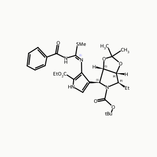 CCOC(=O)c1[nH]cc([C@H]2[C@@H]3OC(C)(C)O[C@@H]3[C@@H](CC)N2C(=O)OC(C)(C)C)c1/N=C(\NC(=O)c1ccccc1)SC